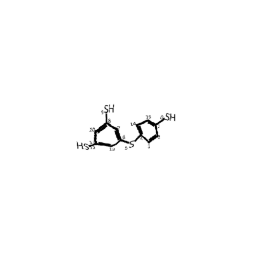 Sc1ccc(Sc2cc(S)cc(S)c2)cc1